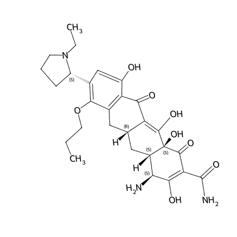 CCCOc1c([C@@H]2CCCN2CC)cc(O)c2c1C[C@H]1C[C@H]3[C@H](N)C(O)=C(C(N)=O)C(=O)[C@@]3(O)C(O)=C1C2=O